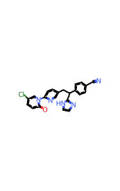 N#Cc1ccc(C(Cc2ccc(-n3cc(Cl)ccc3=O)nc2)c2ncc[nH]2)cc1